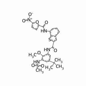 COc1c(NC(=O)c2cc3cccc(NC(=O)c4ccc([N+](=O)[O-])o4)c3s2)cc(C(C)(C)C)cc1NS(C)(=O)=O